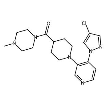 CN1CCN(C(=O)C2CCN(c3cnccc3-n3cc(Cl)cn3)CC2)CC1